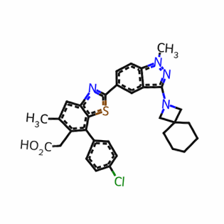 Cc1cc2nc(-c3ccc4c(c3)c(N3CC5(CCCCC5)C3)nn4C)sc2c(-c2ccc(Cl)cc2)c1CC(=O)O